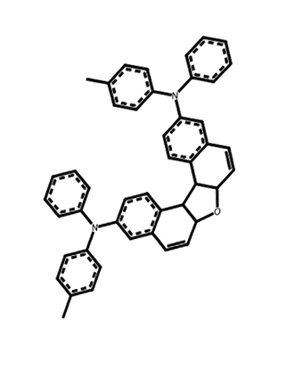 Cc1ccc(N(c2ccccc2)c2ccc3c(c2)C=CC2OC4C=Cc5cc(N(c6ccccc6)c6ccc(C)cc6)ccc5C4C32)cc1